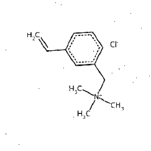 C=Cc1cccc(C[N+](C)(C)C)c1.[Cl-]